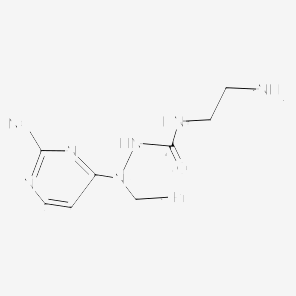 CC(C)CN(NC(=O)NCCN)c1ccnc(C#N)n1